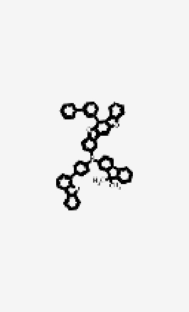 CC1(C)c2ccccc2-c2ccc(N(c3ccc(-c4cccc5c4oc4ccccc45)cc3)c3ccc4oc5c(-c6cccc(-c7ccccc7)c6)c6c(cc5c4c3)oc3ccccc36)cc21